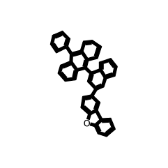 c1ccc(-c2c3ccccc3c(-c3cc(-c4ccc5oc6ccccc6c5c4)cc4ccccc34)c3ccccc23)cc1